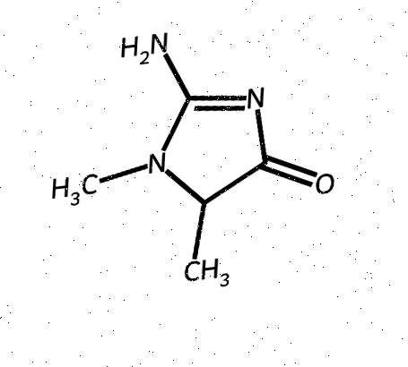 CC1C(=O)N=C(N)N1C